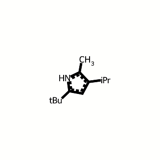 Cc1[nH]c(C(C)(C)C)cc1C(C)C